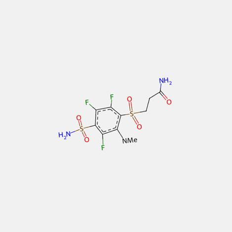 CNc1c(F)c(S(N)(=O)=O)c(F)c(F)c1S(=O)(=O)CCC(N)=O